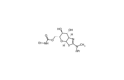 CCCN(C)C1=N[C@@H]2[C@@H](O)[C@H](O)[C@@H](COC(=O)NCC)O[C@@H]2S1